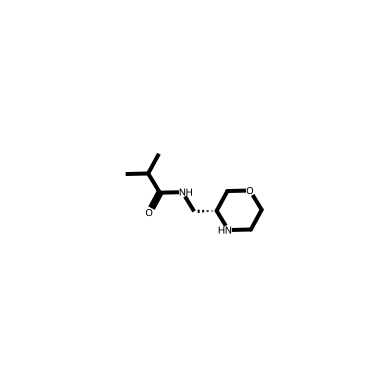 CC(C)C(=O)NC[C@@H]1COCCN1